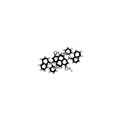 CC1=C[C@@H](N(C2=CC=CC3C=CC=CC23)[C@H]2C=CCCN2)C2C=CC3C4=C(C=CC1C42)C(N(C1C=CC=CN1)C1CC=Cc2ccccc21)=CC3C